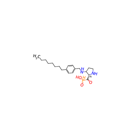 CCCCCCCCc1ccc(CNC2CCN[C@H]2C(=O)[PH](=O)O)cc1